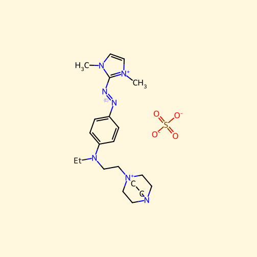 CCN(CC[N+]12CCN(CC1)CC2)c1ccc(/N=N/c2n(C)cc[n+]2C)cc1.O=S(=O)([O-])[O-]